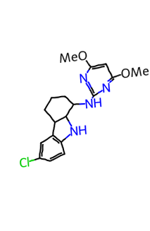 COc1cc(OC)nc(NC2CCCC3c4cc(Cl)ccc4NC23)n1